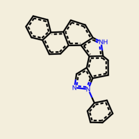 c1ccc(-n2ncc3c4c(ccc32)[nH]c2ccc3c5ccccc5ccc3c24)cc1